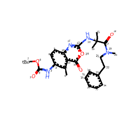 Cc1c(NC(=O)OC(C)(C)C)ccc2nc(NC(C)(C)C(=O)N(C)CCc3ccccc3)oc(=O)c12